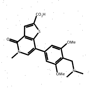 COc1cc(-c2cn(C)c(=O)c3cc(C(=O)O)sc23)cc(OC)c1CN(C)C